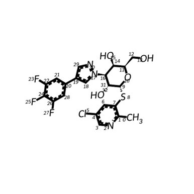 Cc1ncc(Cl)cc1S[C@H]1O[C@H](CO)[C@H](O)[C@H](n2cc(-c3cc(F)c(F)c(F)c3)cn2)[C@H]1O